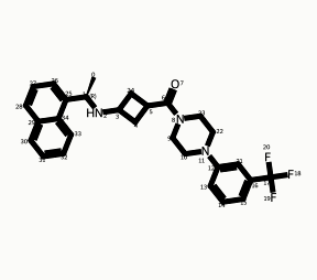 C[C@@H](NC1CC(C(=O)N2CCN(c3cccc(C(F)(F)F)c3)CC2)C1)c1cccc2ccccc12